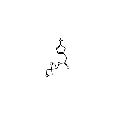 CC(=O)c1ccc(CC(=O)OCC2(C)COC2)s1